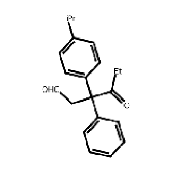 CCC(=O)C(CC=O)(c1ccccc1)c1ccc(C(C)C)cc1